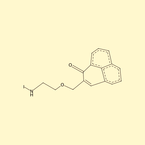 O=C1C(COCCNI)=Cc2cccc3cccc1c23